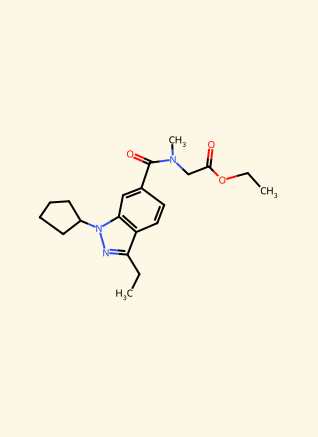 CCOC(=O)CN(C)C(=O)c1ccc2c(CC)nn(C3CCCC3)c2c1